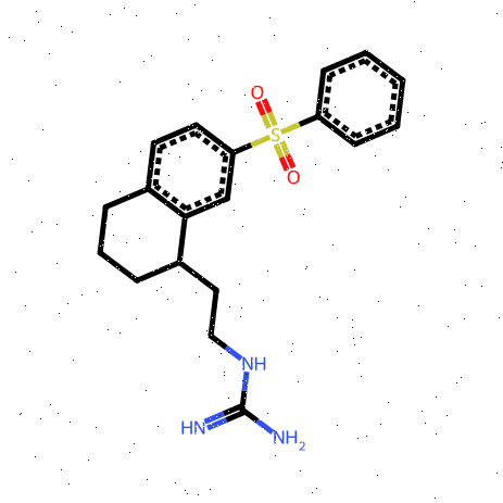 N=C(N)NCCC1CCCc2ccc(S(=O)(=O)c3ccccc3)cc21